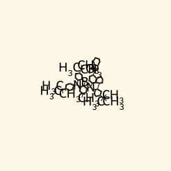 Cc1cc2c3c(c1)N(c1ccc(C(C)(C)C)cc1-c1ccccc1)c1ccc(-c4cc5ccccc5o4)cc1B3c1cc(C(C)(C)C)ccc1N2c1ccc(C(C)(C)C)cc1